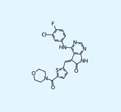 O=C1Nc2ncnc(Nc3ccc(F)c(Cl)c3)c2C1=Cc1ccc(C(=O)N2CCOCC2)s1